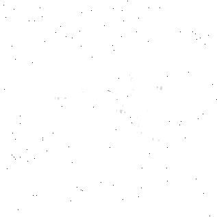 CCCCCCSSC[C@H](NC(=O)OC(C)(C)C)C(=O)C=N